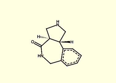 O=C1NCc2ccccc2[C@H]2CNC[C@H]12